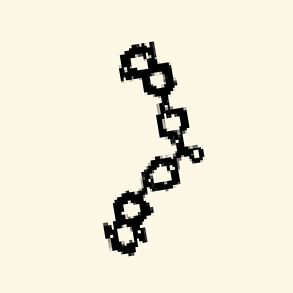 O=C(N1CCN(c2ccc3nccnc3c2)CC1)N1CCN(c2ccc3nccnc3c2)CC1